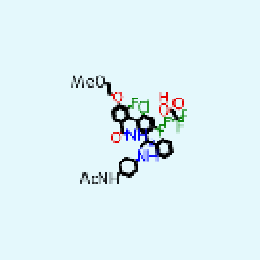 COCCOc1ccc(C(N)=O)c(-c2cc(C(CNC3CCC(NC(C)=O)CC3)c3ccccc3)c(F)cc2Cl)c1F.O=C(O)C(F)(F)F